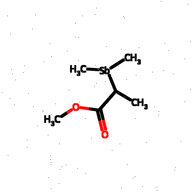 COC(=O)[CH](C)[Sb]([CH3])[CH3]